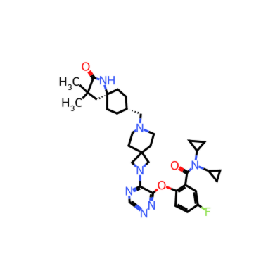 CC1(C)C[C@]2(CC[C@@H](CN3CCC4(CC3)CN(c3ncnnc3Oc3ccc(F)cc3C(=O)N(C3CC3)C3CC3)C4)CC2)NC1=O